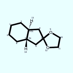 C1CC[C@H]2CC3(C[C@@H]2C1)OCCO3